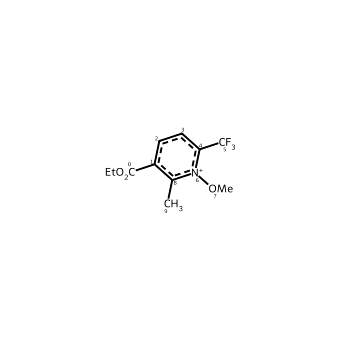 CCOC(=O)c1ccc(C(F)(F)F)[n+](OC)c1C